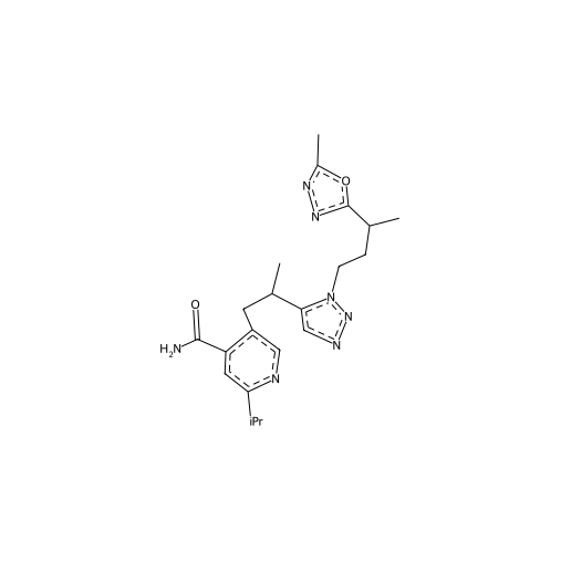 Cc1nnc(C(C)CCn2nncc2C(C)Cc2cnc(C(C)C)cc2C(N)=O)o1